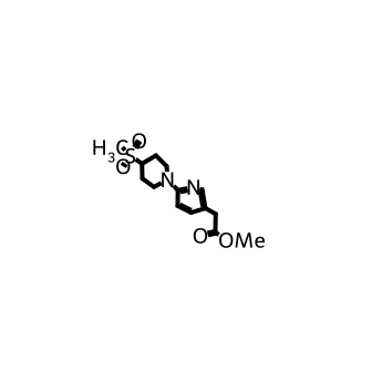 COC(=O)Cc1ccc(N2CCC(S(C)(=O)=O)CC2)nc1